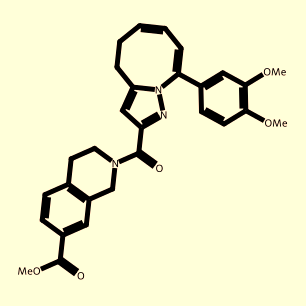 COC(=O)c1ccc2c(c1)CN(C(=O)c1cc3n(n1)/C(c1ccc(OC)c(OC)c1)=C\C=C/CC3)CC2